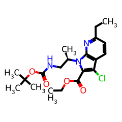 CCOC(=O)c1c(Cl)c2ccc(CC)nc2n1[C@H](C)CNC(=O)OC(C)(C)C